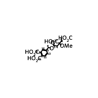 COC(CC(=O)O)(CC(=O)OCc1ccc(C(=O)O)c(C(=O)O)c1)C(=O)O